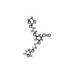 O=Cc1cc(OCCCOC2CCCOC2)cc(OCCCOC2CCCCO2)c1